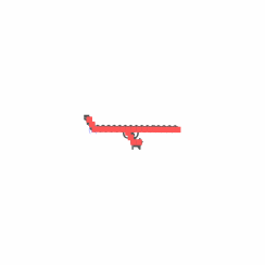 CCCCCC=CCC=CCCCCCCCCC(CCCCCCCCC=CC/C=C\CCCCC)OC(=O)CCCN(C)CC